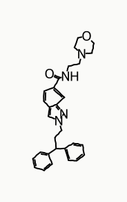 O=C(NCCN1CCOCC1)c1ccc2cn(CCC(c3ccccc3)c3ccccc3)nc2c1